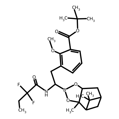 CCC(F)(F)C(=O)NC(Cc1cccc(C(=O)OC(C)(C)C)c1OC)B1OC2CC3CC(C3(C)C)C2(C)O1